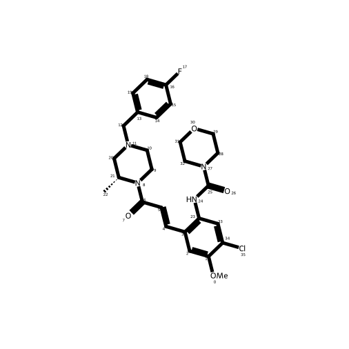 COc1cc(/C=C/C(=O)N2CCN(Cc3ccc(F)cc3)C[C@H]2C)c(NC(=O)N2CCOCC2)cc1Cl